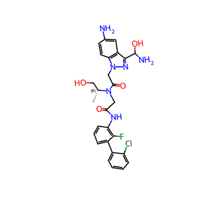 C[C@H](CO)N(CC(=O)Nc1cccc(-c2ccccc2Cl)c1F)C(=O)Cn1nc(C(N)O)c2cc(N)ccc21